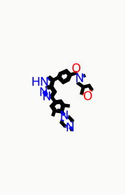 Cc1cc(-c2cc3c(-c4ccc(C(=O)N(C)CC5CCOC5)cc4)c[nH]c3nn2)cc(C)c1N1CCN(C)CC1